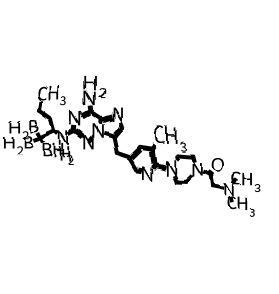 BC(B)(B)C(CCC)Nc1nc(N)c2ncc(Cc3cnc(N4CCN(C(=O)CN(C)C)CC4)c(C)c3)n2n1